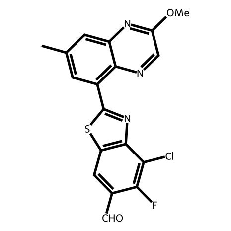 COc1cnc2c(-c3nc4c(Cl)c(F)c(C=O)cc4s3)cc(C)cc2n1